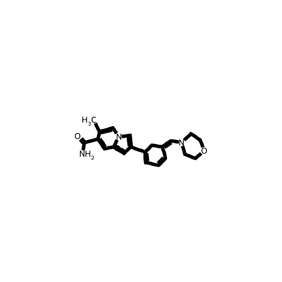 Cc1cn2cc(C3=CC=CC(=CN4CCOCC4)C3)cc2cc1C(N)=O